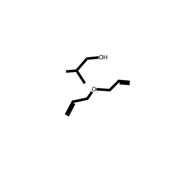 C=CCOCC=C.CC(C)CO